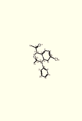 CC(=O)N(C)C1=CC=C(Cl)CC1N(C(C)=O)c1ccccc1